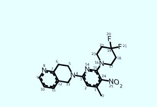 Cc1cc(N2CCc3ncccc3C2)nc(N2CCC(F)(F)CC2)c1[N+](=O)[O-]